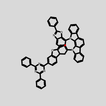 C1=C2Oc3cc(-c4nc(-c5ccccc5)nc(-c5ccccc5)n4)ccc3C2CC(n2c3ccccc3c3ccc4c5ccccc5n(-c5cccc6nc(-c7ccccc7)oc56)c4c32)=C1